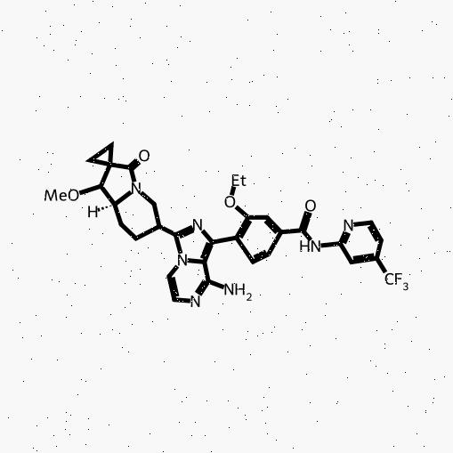 CCOc1cc(C(=O)Nc2cc(C(F)(F)F)ccn2)ccc1-c1nc(C2CC[C@H]3C(OC)C4(CC4)C(=O)N3C2)n2ccnc(N)c12